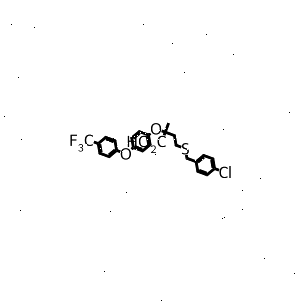 CC(CCSCc1ccc(Cl)cc1)(Oc1ccc(Oc2ccc(C(F)(F)F)cc2)cc1)C(=O)O